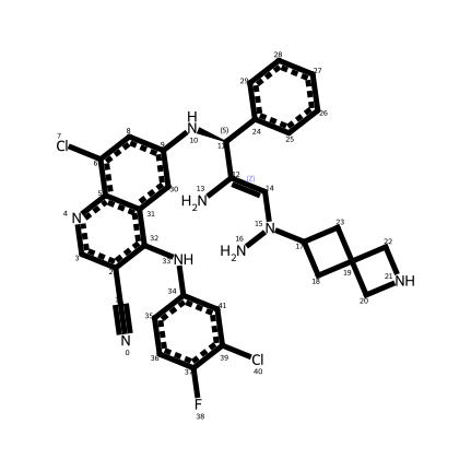 N#Cc1cnc2c(Cl)cc(N[C@H](/C(N)=C/N(N)C3CC4(CNC4)C3)c3ccccc3)cc2c1Nc1ccc(F)c(Cl)c1